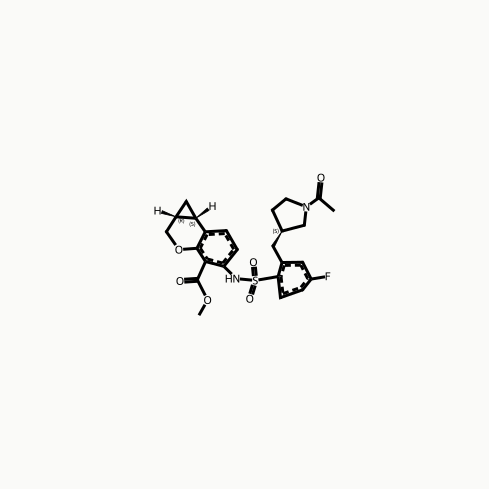 COC(=O)c1c(NS(=O)(=O)c2ccc(F)cc2C[C@H]2CCN(C(C)=O)C2)ccc2c1OC[C@@H]1C[C@H]21